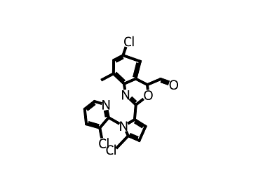 Cc1cc(Cl)cc2c1N=C(c1ccc(Cl)n1-c1ncccc1Cl)OC2C=O